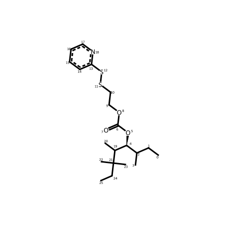 CCC(C)[C@H](OC(=O)OCCSSc1ccccn1)C(C)C(C)(C)CC